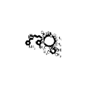 CC[C@H]1OC(=O)[C@H](C)C(=O)[C@H](C)[C@@H](O[C@@H]2OC(C)CC(C)C2O)[C@](C)(OC)C[C@@H](C)CN[C@H](Cc2cccc(Br)c2)[C@H]2N(CCCCn3cc(-c4cccc(N)c4)nn3)C(=O)O[C@]12C